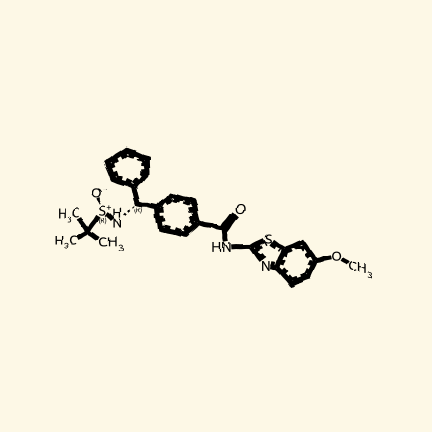 COc1ccc2nc(NC(=O)c3ccc([C@H](N[S@@+]([O-])C(C)(C)C)c4ccccc4)cc3)sc2c1